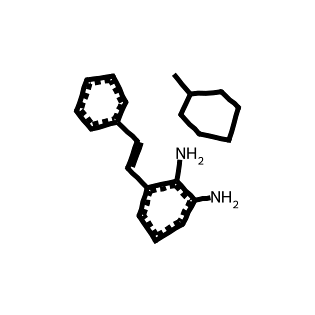 CC1CCCCC1.Nc1cccc(C=Cc2ccccc2)c1N